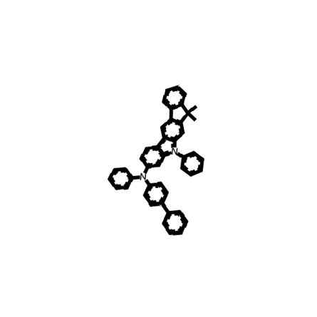 CC1(C)c2ccccc2-c2cc3c4ccc(N(c5ccccc5)c5ccc(-c6ccccc6)cc5)cc4n(-c4ccccc4)c3cc21